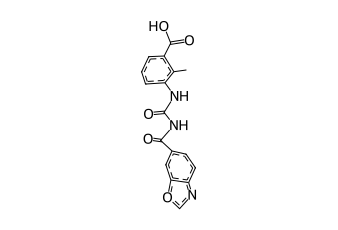 Cc1c(NC(=O)NC(=O)c2ccc3ncoc3c2)cccc1C(=O)O